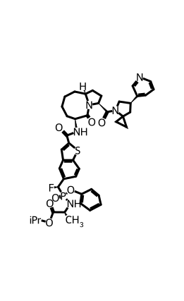 CC(C)OC(=O)[C@H](C)NP(=O)(Oc1ccccc1)[C@@H](F)c1ccc2sc(C(=O)N[C@H]3CCCC[C@H]4CC[C@@H](C(=O)N5C[C@@H](c6cccnc6)CC56CC6)N4C3=O)cc2c1